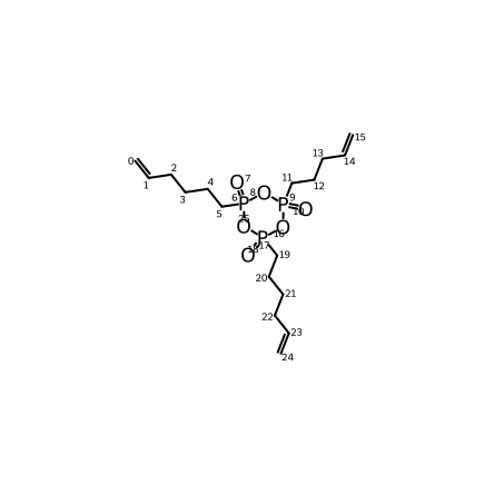 C=CCCCCP1(=O)OP(=O)(CCCC=C)OP(=O)(CCCCC=C)O1